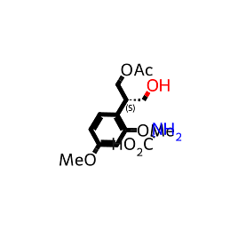 COc1ccc([C@@H](CO)COC(C)=O)c(OC)c1.NC(=O)O